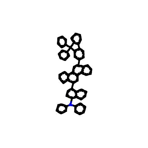 c1ccc(N(c2ccccc2)c2ccc(-c3cc4c5ccccc5c(-c5ccc6c(c5)C(c5ccccc5)(c5ccccc5)c5ccccc5-6)cc4c4ccccc34)c3ccccc23)cc1